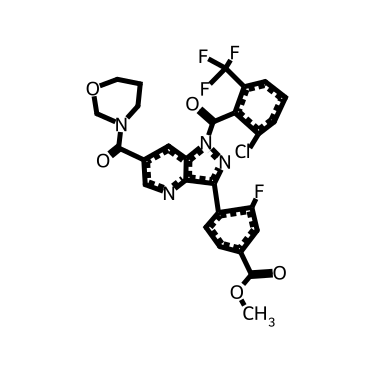 COC(=O)c1ccc(-c2nn(C(=O)c3c(Cl)cccc3C(F)(F)F)c3cc(C(=O)N4CCCOC4)cnc23)c(F)c1